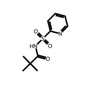 CC(C)(C)C(=O)NS(=O)(=O)c1ccccn1